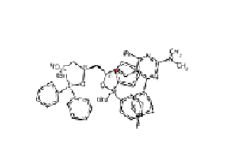 CC(C)c1nc(N(C)C)nc(-c2ccc(F)cc2)c1C=C[C@H](C[C@H](CC(=O)O)O[Si](c1ccccc1)(c1ccccc1)C(C)(C)C)O[Si](c1ccccc1)(c1ccccc1)C(C)(C)C